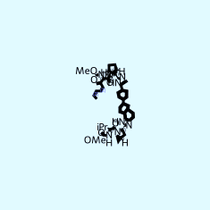 C=C(/C=C\C=C/C)[C@@H](NC(=O)OC)C(=O)N1[C@@H]2CC[C@@H](C2)[C@H]1c1ncc(-c2ccc(-c3ccc4c(ccc5nc([C@@H]6C[C@H]7C=C7N6C(=O)[C@@H](NC(=O)OC)C(C)C)[nH]c54)c3)cc2)[nH]1